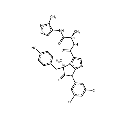 C[C@@H](NC(=O)c1cnc2n1[C@](C)(Cc1ccc(C#N)cc1)C(=O)N2c1cc(Cl)cc(Cl)c1)C(=O)Nc1ccnn1C